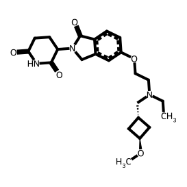 CCN(CCOc1ccc2c(c1)CN(C1CCC(=O)NC1=O)C2=O)C[C@H]1C[C@H](OC)C1